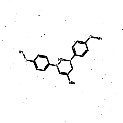 CCCCC1=CN(c2ccc(OC(C)C)cc2)NN(c2ccc(OC(C)C)cc2)C1